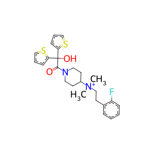 C[N+](C)(CCc1ccccc1F)C1CCN(C(=O)C(O)(c2cccs2)c2cccs2)CC1